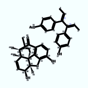 C/C=C(/C(=C/C)c1ccc(OC(C)=O)cc1)c1ccc(O)cc1.CN1CC[C@]23c4c5ccc(O)c4O[C@H]2[C@@H](O)C=C[C@H]3[C@H]1C5=O